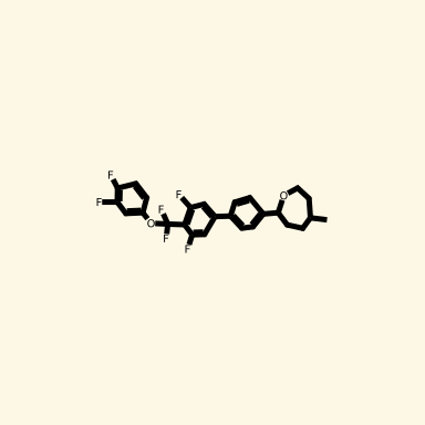 CC1CCOC(c2ccc(-c3cc(F)c(C(F)(F)Oc4ccc(F)c(F)c4)c(F)c3)cc2)CC1